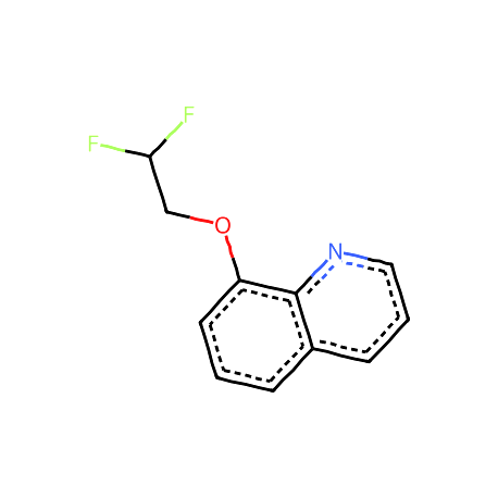 FC(F)COc1cccc2cccnc12